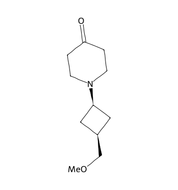 COC[C@H]1C[C@@H](N2CCC(=O)CC2)C1